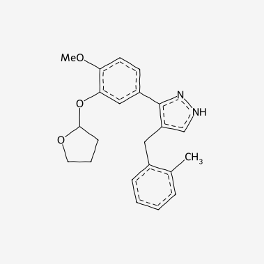 COc1ccc(-c2n[nH]cc2Cc2ccccc2C)cc1OC1CCCO1